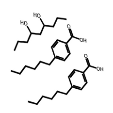 CCCC(O)CC(O)CCC.CCCCCCc1ccc(C(=O)O)cc1.CCCCCCc1ccc(C(=O)O)cc1